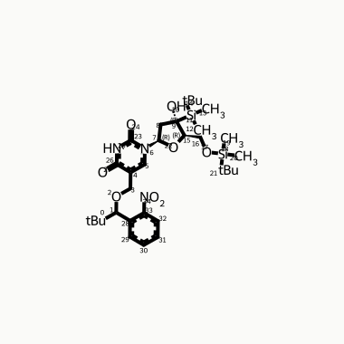 CC(C)(C)C(OCc1cn([C@H]2C[C@@](O)([Si](C)(C)C(C)(C)C)[C@@H](CO[Si](C)(C)C(C)(C)C)O2)c(=O)[nH]c1=O)c1ccccc1[N+](=O)[O-]